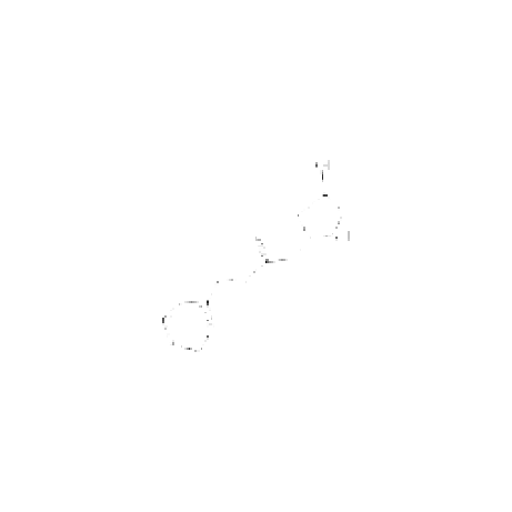 O=C(C[C@@H]1C[C@@H](O)CN1)OCc1ccccc1